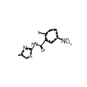 Cc1csc(NC(=O)c2cc([N+](=O)[O-])ccc2I)n1